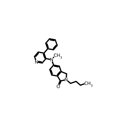 CCCCN1Cc2cc(N(C)c3cnccc3-c3ccccc3)ccc2C1=O